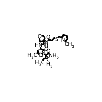 CC[C@H](C)[C@H](NC(=O)[C@H](CC(C)C)NC(=O)C1(NC(=O)CCSCc2cccc(C)n2)CCOCC1)C(N)=O